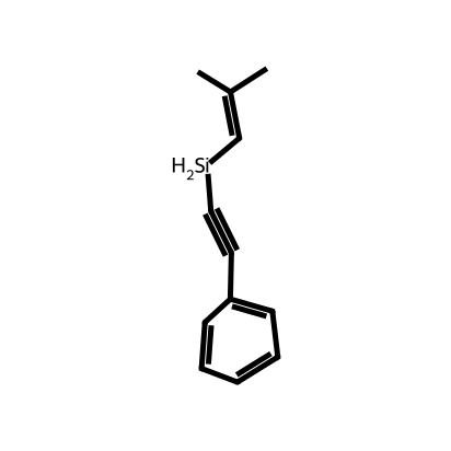 CC(C)=C[SiH2]C#Cc1ccccc1